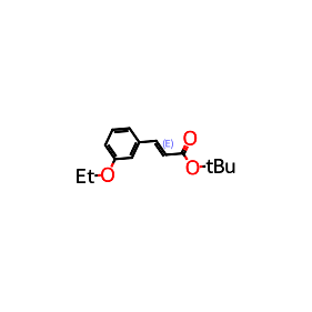 CCOc1cccc(/C=C/C(=O)OC(C)(C)C)c1